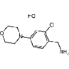 Cl.NCc1ccc(N2CCOCC2)cc1Cl